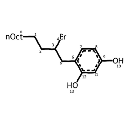 CCCCCCCCCCC(Br)Cc1ccc(O)cc1O